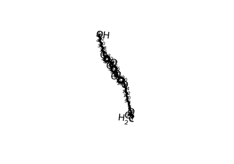 C=CC(=O)OCCCCCCCCCCCOc1ccc(C(=O)Oc2ccc(OC(=O)c3ccc(OCCCCCCCCO)cc3)cc2)cc1